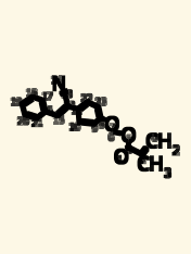 C=C(C)C(=O)OCOc1ccc(/C(C#N)=C/c2ccccc2)cc1